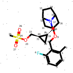 Cc1cccc(F)c1COC1CC2CCC(C1)N2C[C@@H]1C[C@H]1COS(C)(=O)=O